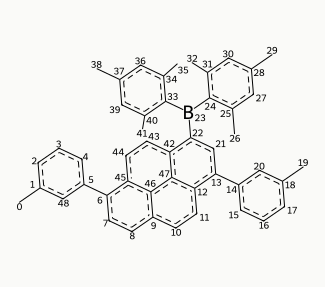 Cc1cccc(-c2ccc3ccc4c(-c5cccc(C)c5)cc(B(c5c(C)cc(C)cc5C)c5c(C)cc(C)cc5C)c5ccc2c3c54)c1